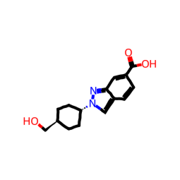 O=C(O)c1ccc2cn([C@H]3CC[C@H](CO)CC3)nc2c1